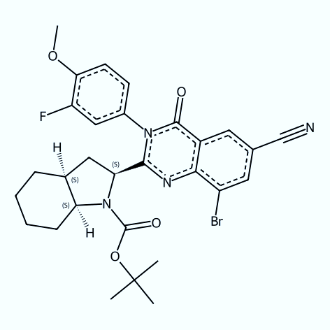 COc1ccc(-n2c([C@@H]3C[C@@H]4CCCC[C@@H]4N3C(=O)OC(C)(C)C)nc3c(Br)cc(C#N)cc3c2=O)cc1F